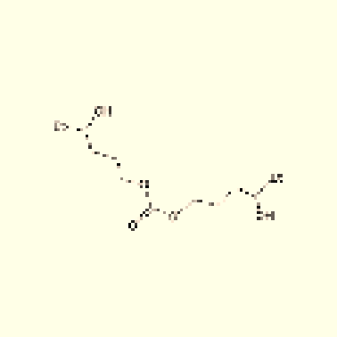 CCC(O)CCCOC(=O)OCCCC(O)CC